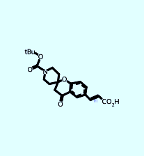 CC(C)(C)OC(=O)N1CCC2(CC1)CC(=O)c1cc(/C=C/C(=O)O)ccc1O2